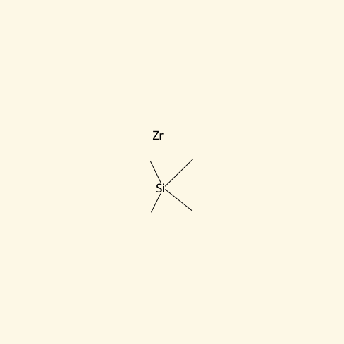 C[Si](C)(C)C.[Zr]